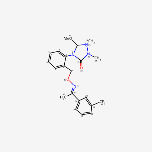 COC1N(c2ccccc2CO/N=C(\C)c2cccc(C(F)(F)F)c2)C(=O)N(C)N1C